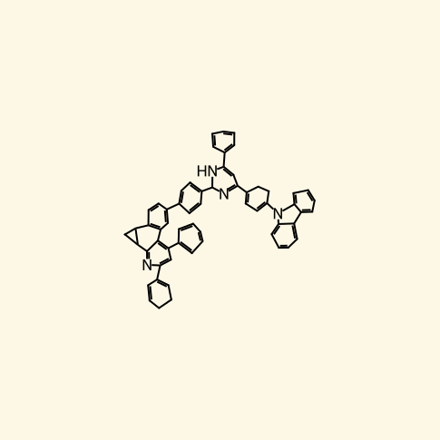 C1=CC(c2cc(-c3ccccc3)c3c(n2)C2CC2c2ccc(-c4ccc(C5N=C(C6=CC=C(n7c8ccccc8c8ccccc87)CC6)C=C(c6ccccc6)N5)cc4)cc2-3)=CCC1